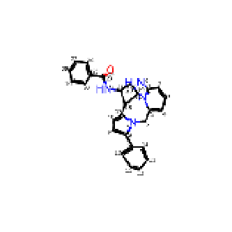 Nc1cccc(Cn2c(-c3ccccc3)ccc2C2CCC2NC(=O)c2ccccc2)n1